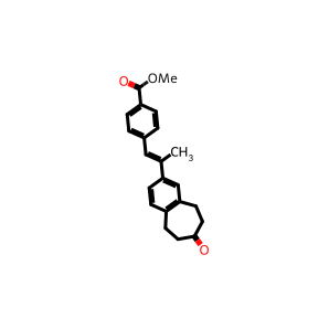 COC(=O)c1ccc(/C=C(\C)c2ccc3c(c2)CCC(=O)CC3)cc1